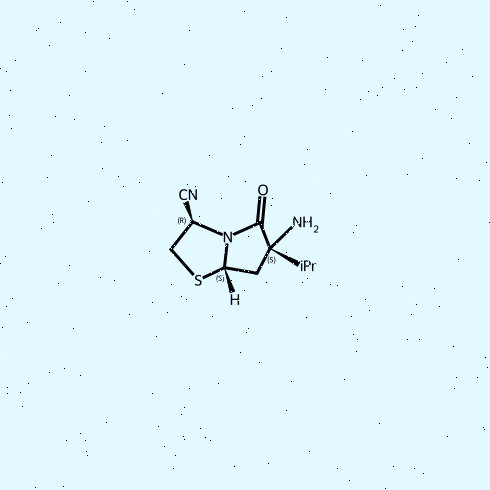 CC(C)[C@@]1(N)C[C@@H]2SC[C@@H](C#N)N2C1=O